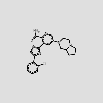 NC(=O)c1ncc(N2CCN3CCCC3C2)cc1-c1nc(-c2ccccc2Cl)cs1